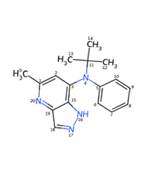 Cc1cc(N(c2ccccc2)C(C)(C)C)c2[nH]ncc2n1